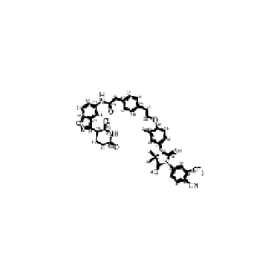 CC1(C)C(=O)N(c2ccc(C#N)c(C(F)(F)F)c2)C(=S)N1c1ccc(OCCc2ccc(CC(=O)Nc3ccc4onc(C5CCC(=O)NC5=O)c4c3)cc2)c(F)c1